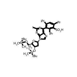 CC(C)c1cc(C(C)C)c(S(=O)(=O)O)c(C(C)C)c1-c1nc(I)nc2c1ncn2[C@H]1C[C@H](O[Si](C)(C)C(C)(C)C)[C@@H](CO[Si](C)(C)C(C)(C)C)O1